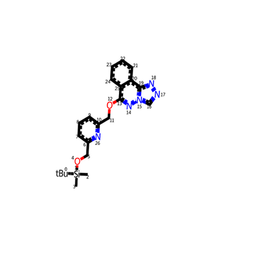 CC(C)(C)[Si](C)(C)OCc1cccc(COc2nn3cnnc3c3ccccc23)n1